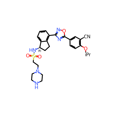 CC(C)Oc1ccc(-c2nc(-c3cccc4c3CC[C@H]4NS(=O)(=O)CCN3CCNCC3)no2)cc1C#N